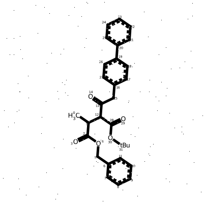 CC(C(=O)OCc1ccccc1)C(C(=O)Cc1ccc(-c2ccccc2)cc1)C(=O)OC(C)(C)C